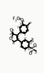 Cc1ccc(C2=C(c3ccc(S(C)(=O)=O)c(F)c3)COC2=O)cc1OC(F)(F)F